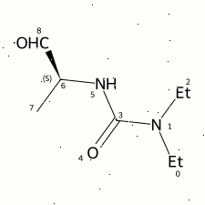 CCN(CC)C(=O)N[C@@H](C)[C]=O